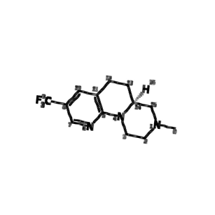 CN1CCN2c3ncc(C(F)(F)F)cc3CC[C@H]2C1